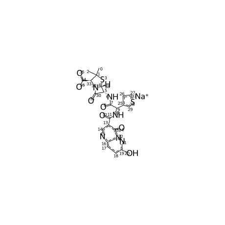 CC1(C)S[C@@H]2[C@H](NC(=O)C(NC(=O)c3cnc4ccc(O)nn4c3=O)c3ccsc3)C(=O)N2[C@H]1C(=O)[O-].[Na+]